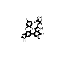 Cn1cc(-c2cc3[nH]cnc3cc2Oc2ccc(F)cc2F)c2cc[nH]c2c1=O.O=C(O)C(F)(F)F